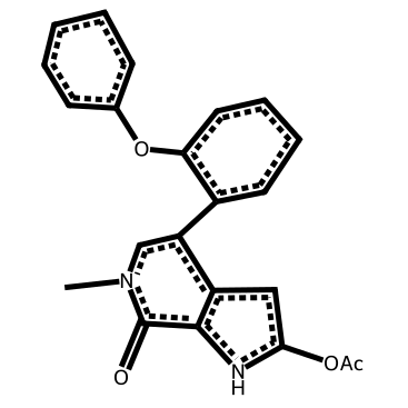 CC(=O)Oc1cc2c(-c3ccccc3Oc3ccccc3)cn(C)c(=O)c2[nH]1